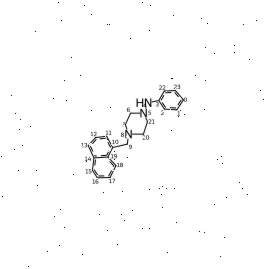 c1ccc(NN2CCN(Cc3cccc4ccccc34)CC2)cc1